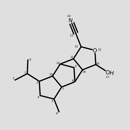 CC(C)C1CC(C)C2C3CC(C4C(C#N)OC(O)C34)C12